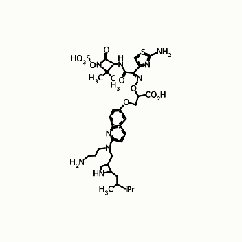 CC(C)C(C)CC1NCC1CN(CCCN)c1ccc2cc(OCC(O/N=C(\C(=O)N[C@@H]3C(=O)N(OS(=O)(=O)O)C3(C)C)c3csc(N)n3)C(=O)O)ccc2n1